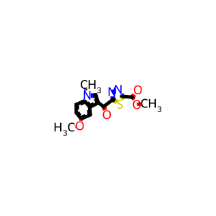 COC(=O)c1nnc(C(=O)c2cn(C)c3ccc(OC)cc23)s1